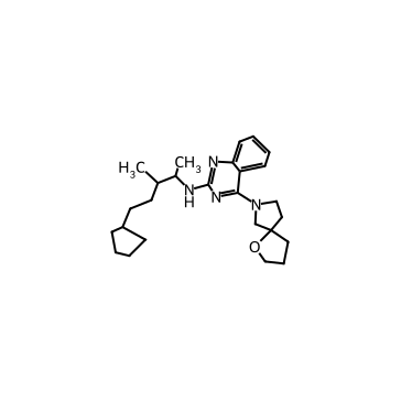 CC(CCC1CCCC1)C(C)Nc1nc(N2CCC3(CCCO3)C2)c2ccccc2n1